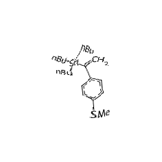 C=[C](c1ccc(SC)cc1)[Sn]([CH2]CCC)([CH2]CCC)[CH2]CCC